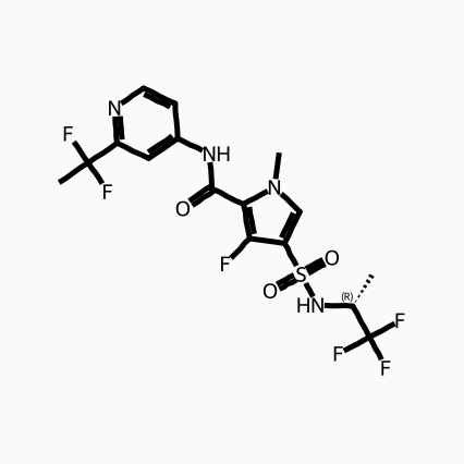 C[C@@H](NS(=O)(=O)c1cn(C)c(C(=O)Nc2ccnc(C(C)(F)F)c2)c1F)C(F)(F)F